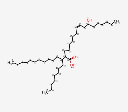 CCCCCCCCCCCC(CCCCCCCC)C(CCCCCC/C=C\C[C@H](O)CCCCCC)C(=O)O